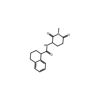 CN1C(=O)CCC(NC(=O)C2CCCc3ccccc32)C1=O